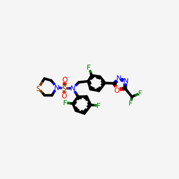 O=S(=O)(N1CCSCC1)N(Cc1ccc(-c2nnc(C(F)F)o2)cc1F)c1cc(F)ccc1F